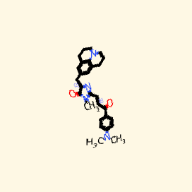 CN1C(=O)/C(=C/c2cc3c4c(c2)CCCN4CCC3)N=C1/C=C/C(=O)c1ccc(N(C)C)cc1